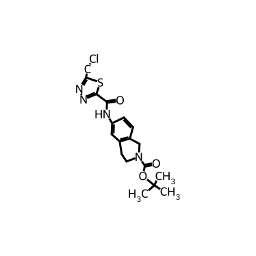 CC(C)(C)OC(=O)N1CCc2cc(NC(=O)c3nnc(CCl)s3)ccc2C1